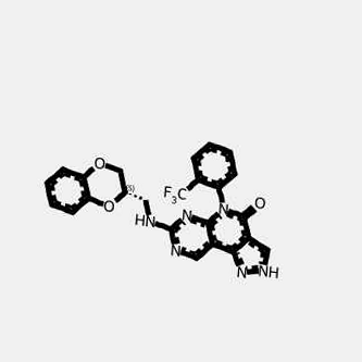 O=c1c2c[nH]nc2c2cnc(NC[C@H]3COc4ccccc4O3)nc2n1-c1ccccc1C(F)(F)F